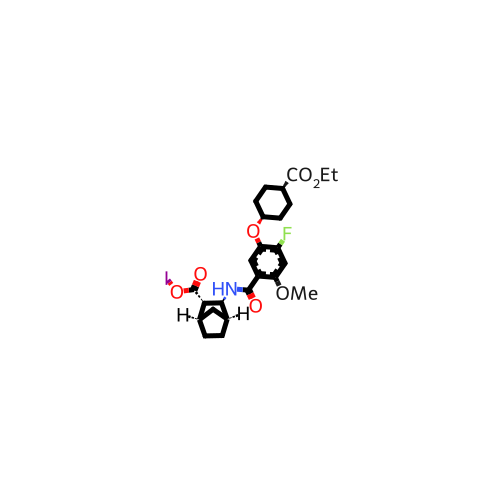 CCOC(=O)[C@H]1CC[C@@H](Oc2cc(C(=O)N[C@@H]3[C@H]4CC[C@H](C4)[C@@H]3C(=O)OI)c(OC)cc2F)CC1